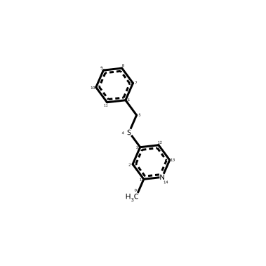 Cc1cc(SCc2ccccc2)ccn1